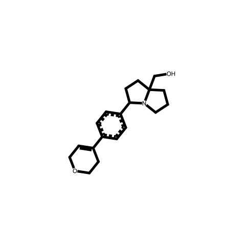 OCC12CCCN1C(c1ccc(C3=CCOCC3)cc1)CC2